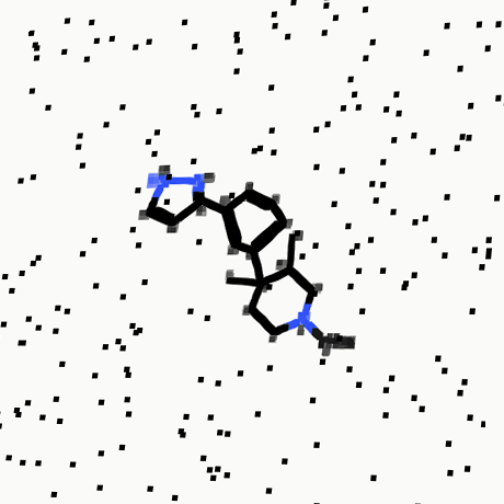 CCCCCCN1CCC(C)(c2cccc(-c3cc[nH]n3)c2)C(C)C1